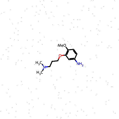 COc1ccc(N)cc1OCCCN(C)C